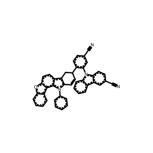 N#Cc1ccc(C2C=Cc3c(c4ccc5oc6ccccc6c5c4n3-c3ccccc3)C2)c(-n2c3ccccc3c3cc(C#N)ccc32)c1